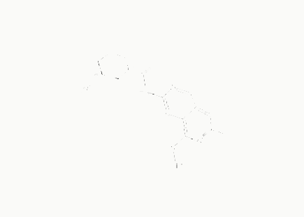 Cc1cc2cnc(NC(=O)[C@H]3CCC[C@@H](N)C3)nc2c(NC(C)C)n1